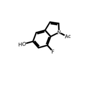 CC(=O)n1ccc2cc(O)cc(F)c21